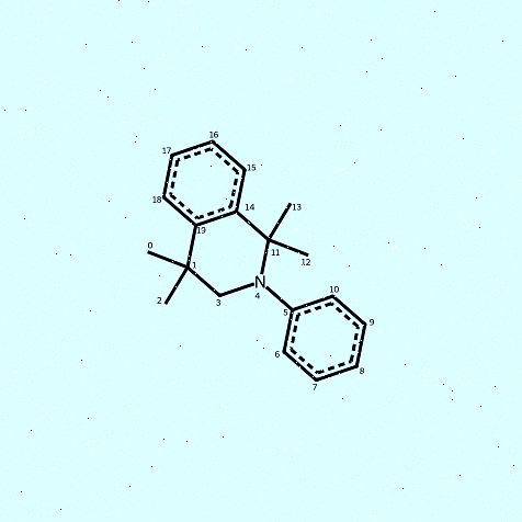 CC1(C)CN(c2ccccc2)C(C)(C)c2ccccc21